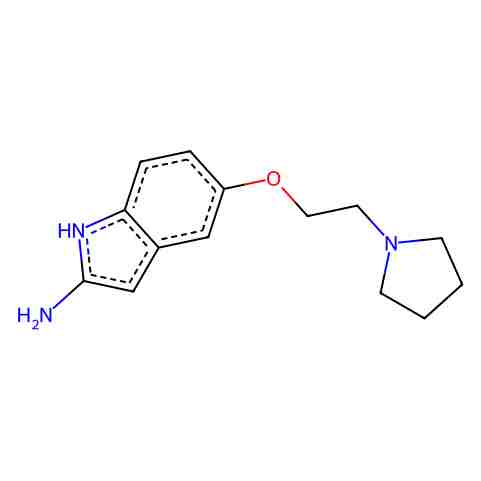 Nc1cc2cc(OCCN3CCCC3)ccc2[nH]1